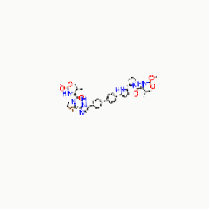 COC(=O)N[C@H](C(=O)N1CCC[C@H]1c1ccc(-c2ccc(-c3ccc(-c4cnc([C@@H]5SCCN5C(=O)[C@@H](NC(=O)OC)C(C)C)[nH]4)cc3)cc2)[nH]1)C(C)C